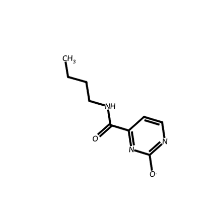 CCCCNC(=O)c1ccnc([O])n1